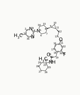 Cc1cnc(N2CCC([C@H]3C[C@H]3CCOc3ccc(CC(=O)NC4(C)CCCCC4)c(F)c3)CC2)nc1